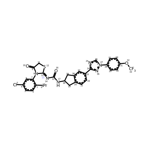 CC(C)c1ccc(Cl)cc1N1C(=O)CS/C1=N\C(=O)NC1Cc2ccc(-c3ncn(-c4ccc(OC(F)(F)F)cc4)n3)cc2C1